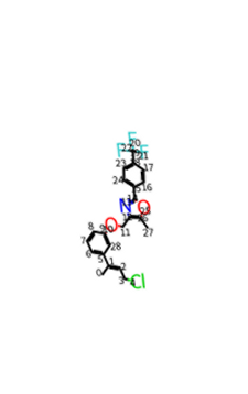 CC(=CCCl)c1cccc(OCc2nc(-c3ccc(C(F)(F)F)cc3)oc2C)c1